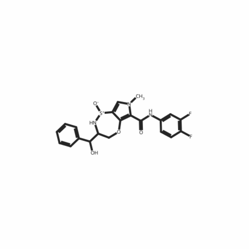 Cn1cc2c(c1C(=O)Nc1ccc(F)c(F)c1)OCC(C(O)c1ccccc1)N[S+]2[O-]